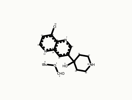 CC(C)(C)OC=O.OC1(c2cnc3c(Cl)ccnc3c2)CCNCC1